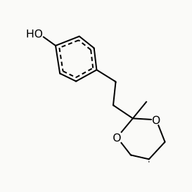 CC1(CCc2ccc(O)cc2)OC[CH]CO1